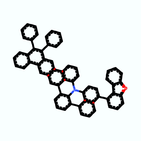 c1ccc(-c2cccc(-c3ccccc3)c2N(c2ccc(-c3cccc4oc5ccccc5c34)cc2)c2cccc(-c3ccc4c(c3)c(-c3ccccc3)c(-c3ccccc3)c3ccccc34)c2)cc1